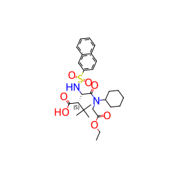 CCOC(=O)CN(C(=O)C(NS(=O)(=O)c1ccc2ccccc2c1)[C@@H](C(=O)O)C(C)(C)C)C1CCCCC1